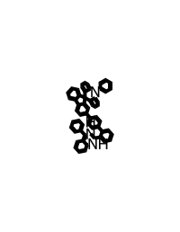 C1=CC2=C(c3ccccc3)NC(c3ccccc3-c3ccc(-c4ccc5c(c4)C4(c6ccccc6-5)c5ccccc5N(c5ccccc5)c5ccccc54)cc3)NC2C=C1